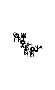 COc1cc(NCC2CCOCC2)c(-c2cnn(C)c2)cc1Nc1ncc(Br)c(Nc2ccc3nc(C4CC4)ccc3c2P(C)(C)=O)n1